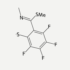 CN=C(SC)c1c(F)c(F)c(F)c(F)c1[S]